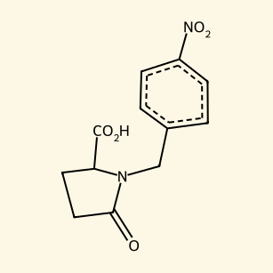 O=C(O)C1CCC(=O)N1Cc1ccc([N+](=O)[O-])cc1